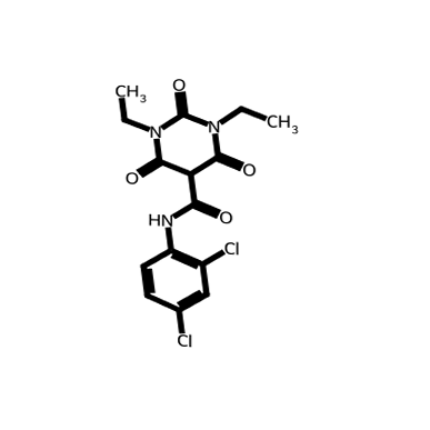 CCN1C(=O)C(C(=O)Nc2ccc(Cl)cc2Cl)C(=O)N(CC)C1=O